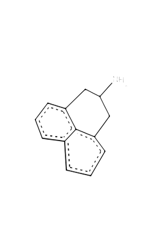 NC1Cc2cccc3cccc(c23)C1